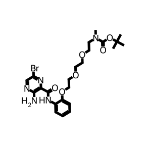 CN(CCOCCOCCOc1ccccc1NC(=O)c1nc(Br)cnc1N)C(=O)OC(C)(C)C